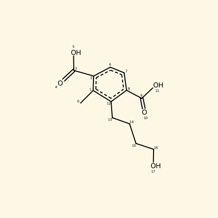 Cc1c(C(=O)O)ccc(C(=O)O)c1CCCCO